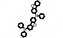 c1ccc(N(c2ccc3c(c2)oc2ccc(N(c4ccccc4)c4ccccc4)cc23)c2ccc3oc4ccccc4c3c2)cc1